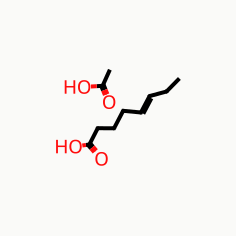 CC(=O)O.CCC=CCCCC(=O)O